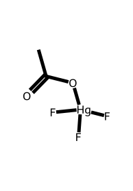 CC(=O)[O][Hg]([F])([F])[F]